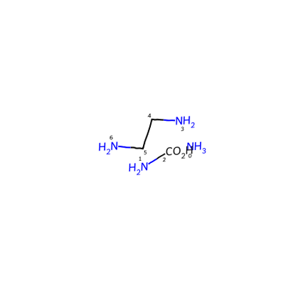 N.NC(=O)O.NCCN